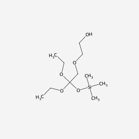 CCOC(COCCO)(OCC)O[Si](C)(C)C